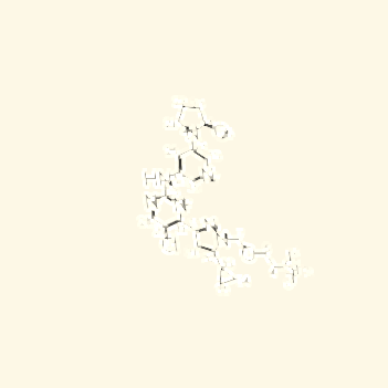 C[Si](C)(C)CCOCn1nc(-c2nc(Nc3cncc(N4CCCC4=O)c3)ncc2Cl)cc1C1CC1